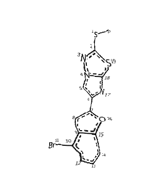 CSc1nn2cc(-c3cc4c(Br)cccc4o3)nc2s1